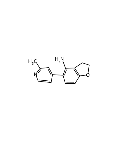 Cc1cc(-c2ccc3c(c2N)CCO3)ccn1